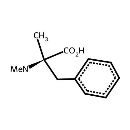 CN[C@](C)(Cc1ccccc1)C(=O)O